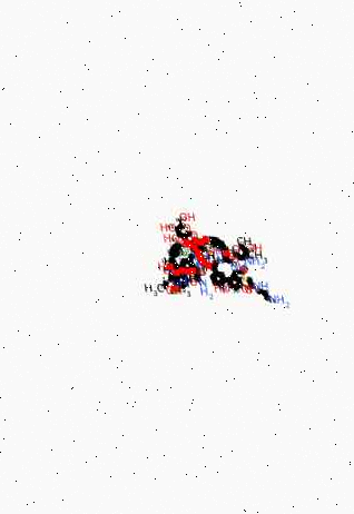 CN[C@H](CC(C)O)C(=O)N[C@H]1C(=O)N[C@@H](CC(N)=O)C(=O)N[C@H]2C(=O)N[C@H]3C(=O)N[C@H](C(=O)N[C@@H](C(=O)SCC(=O)NCCCN)c4cc(O)cc(O)c4-c4cc3ccc4I)[C@H](O[C@H]3C[C@](C)(N)[C@@H](O)[C@H](C)O3)c3ccc(c(Cl)c3)Oc3cc2cc(c3O[C@@H]2O[C@H](CO)[C@@H](O)[C@H](O)[C@H]2O[C@H]2C[C@](C)(NCc3ccc(-c4ccc(Cl)cc4)cc3)[C@@H](O)[C@H](C)O2)Oc2ccc(cc2Cl)[C@H]1O